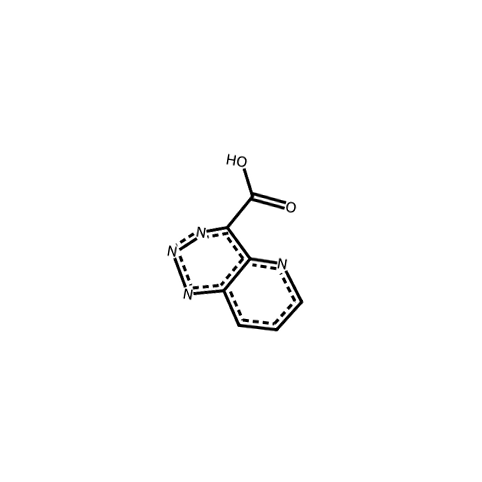 O=C(O)c1nnnc2cccnc12